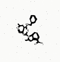 Cc1cc2c(C(N)=O)cccc2n1-c1nc2c(c(NCc3ccccc3)n1)CC(C)OC2